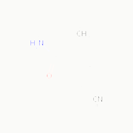 CC(C[CH]C#N)C(N)=O